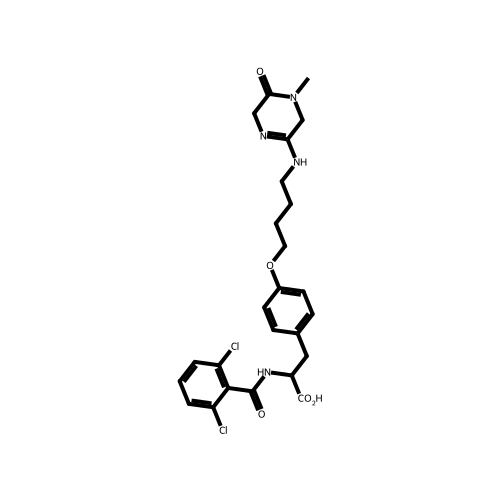 CN1CC(NCCCCOc2ccc(CC(NC(=O)c3c(Cl)cccc3Cl)C(=O)O)cc2)=NCC1=O